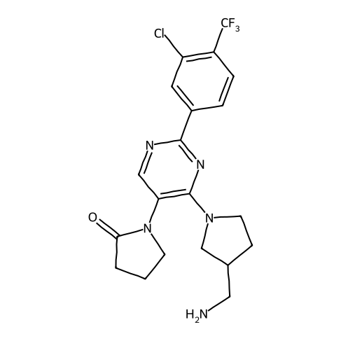 NCC1CCN(c2nc(-c3ccc(C(F)(F)F)c(Cl)c3)ncc2N2CCCC2=O)C1